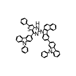 C1=C(c2ccccc2)SC2=C(c3ccc4c(c3)c3ccccc3n4-c3ccccc3)N=C(n3c4ccc(-c5ccc6c7ccccc7n(-c7ccccc7)c6c5)cc4c4c5ccccc5ccc43)NC12